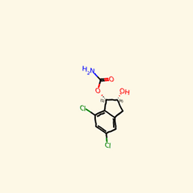 NC(=O)O[C@H]1c2c(Cl)cc(Cl)cc2C[C@H]1O